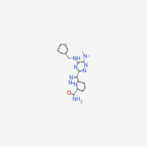 CN(C)c1nnc(-c2nnn3c(C(N)=O)cccc23)nc1NCc1ccccc1